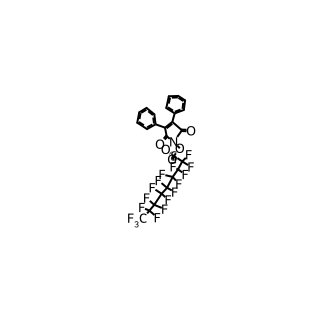 O=C1C(c2ccccc2)=C(c2ccccc2)C(=O)N1OS(=O)(=O)C(F)(F)C(F)(F)C(F)(F)C(F)(F)C(F)(F)C(F)(F)C(F)(F)C(F)(F)F